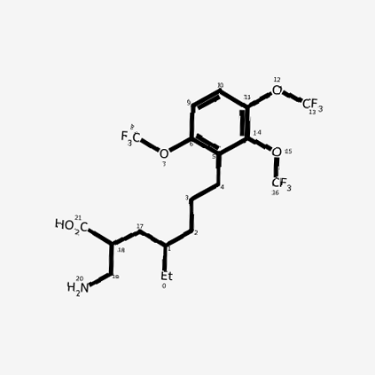 CCC(CCCc1c(OC(F)(F)F)ccc(OC(F)(F)F)c1OC(F)(F)F)CC(CN)C(=O)O